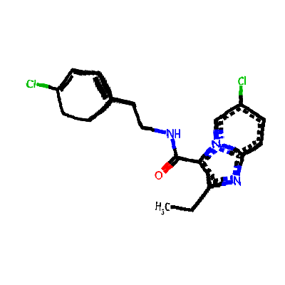 CCc1nc2ccc(Cl)cn2c1C(=O)NCCC1=CC=C(Cl)CC1